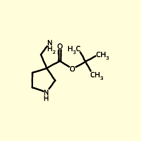 CC(C)(C)OC(=O)C1(CN)CCNC1